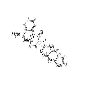 N=C(N)c1ccccc1N1CCCC(CC(=O)NC(Cc2ccsc2)C(=O)O)C1=O